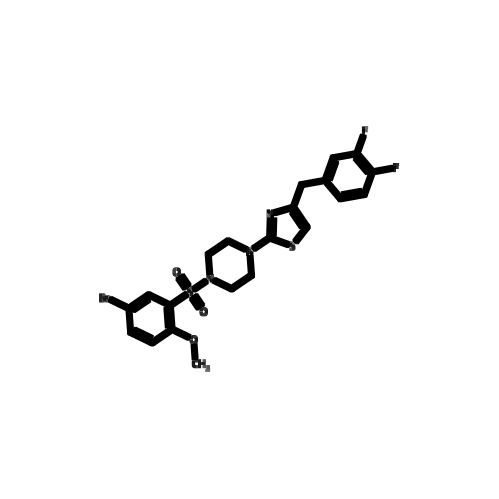 COc1ccc(Br)cc1S(=O)(=O)N1CCN(c2nc(Cc3ccc(F)c(F)c3)cs2)CC1